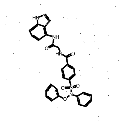 O=C(CNC(=O)c1ccc(S(=O)(=O)N(Oc2ccccc2)c2ccccc2)cc1)Nc1cccc2[nH]ccc12